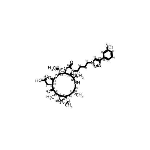 B[C@@H]1[C@@H](C)C(=O)[C@@H](CC(=O)O)C(=O)O[C@H](CC)[C@@]2(C)OC(=O)N(CCCCn3cc(-c4cccc(N)c4)nn3)[C@@H]2[C@@H](C)NC[C@H](C)C[C@@]1(C)OC